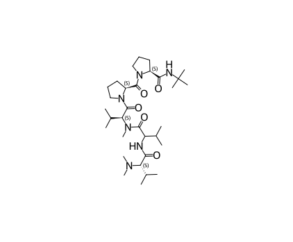 CC(C)C(NC(=O)[C@H](C(C)C)N(C)C)C(=O)N(C)[C@H](C(=O)N1CCC[C@H]1C(=O)N1CCC[C@H]1C(=O)NC(C)(C)C)C(C)C